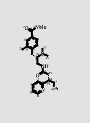 CNC(=O)c1ccc(C[C@@H](CNC(=O)C[C@H](CC(C)C)c2ccccn2)N(C)C)c(C)c1